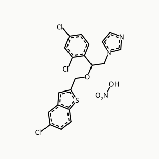 Clc1ccc(C(Cn2ccnc2)OCc2cc3cc(Cl)ccc3s2)c(Cl)c1.O=[N+]([O-])O